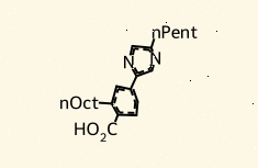 CCCCCCCCc1cc(-c2cnc(CCCCC)cn2)ccc1C(=O)O